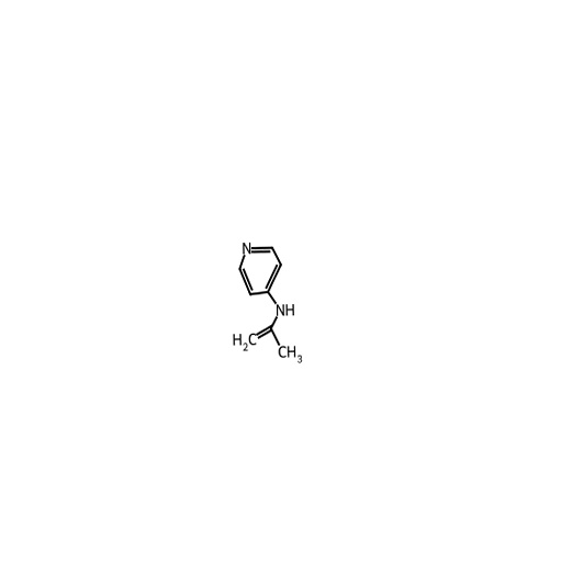 C=C(C)Nc1ccncc1